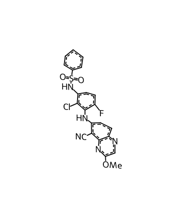 COc1cnc2ccc(Nc3c(F)ccc(NS(=O)(=O)c4ccccc4)c3Cl)c(C#N)c2n1